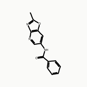 Cc1nc2ncc(NC(=O)c3ccccc3)cc2o1